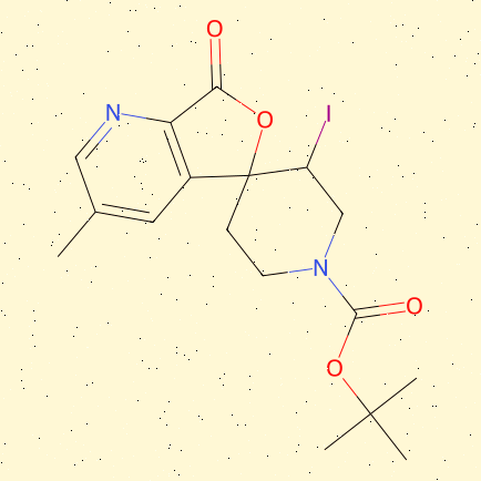 Cc1cnc2c(c1)C1(CCN(C(=O)OC(C)(C)C)CC1I)OC2=O